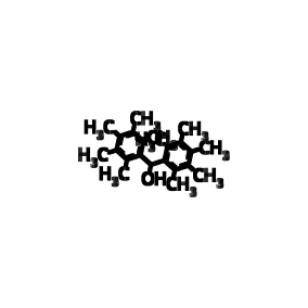 Cc1c(C)c(C)c(C(O)c2c(C)c(C)c(C)c(C)c2C)c(C)c1C